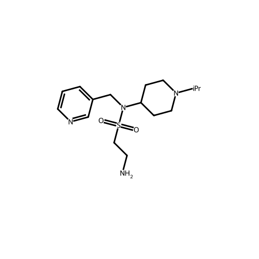 CC(C)N1CCC(N(Cc2cccnc2)S(=O)(=O)CCN)CC1